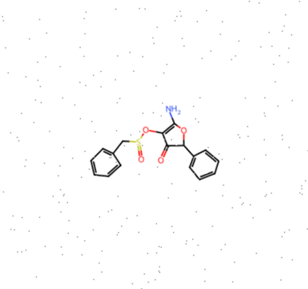 NC1=C(OS(=O)Cc2ccccc2)C(=O)C(c2ccccc2)O1